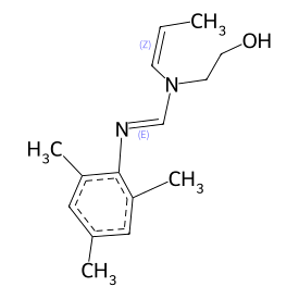 C/C=C\N(/C=N/c1c(C)cc(C)cc1C)CCO